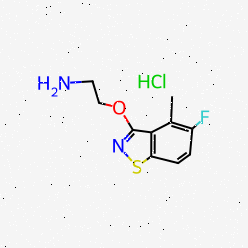 Cc1c(F)ccc2snc(OCCN)c12.Cl